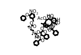 CC(=O)O[C@H]1C(=O)[C@@]2(C)[C@H]([C@H](OC(=O)c3ccccc3)[C@]3(O)C[C@H](OC(=O)[C@H](OC(=O)N(C)CCN(C)C(=O)OCc4ccc([N+](=O)[O-])c(Oc5ccccc5)c4)[C@@H](NC(=O)c4ccccc4)c4ccccc4)C(C)=C1C3(C)C)[C@]1(OC(C)=O)CO[C@@H]1C[C@@H]2O